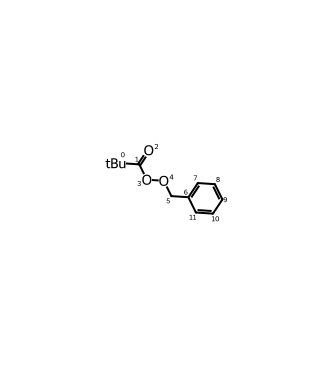 CC(C)(C)C(=O)OOCc1ccccc1